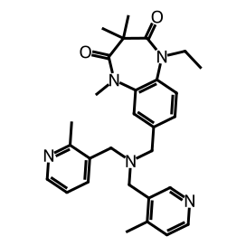 CCN1C(=O)C(C)(C)C(=O)N(C)c2cc(CN(Cc3cnccc3C)Cc3cccnc3C)ccc21